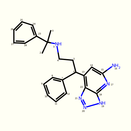 CC(C)(NCCC(c1ccccc1)c1cc(N)nc2[nH]nnc12)c1ccccc1